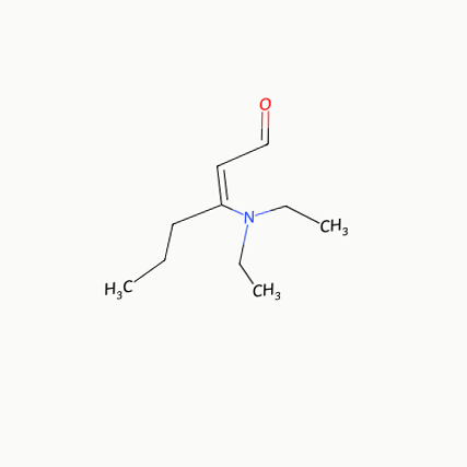 CCC/C(=C/C=O)N(CC)CC